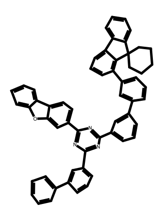 c1ccc(-c2cccc(-c3nc(-c4cccc(-c5cccc(-c6cccc7c6C6(CCCCC6)c6ccccc6-7)c5)c4)nc(-c4ccc5c(c4)oc4ccccc45)n3)c2)cc1